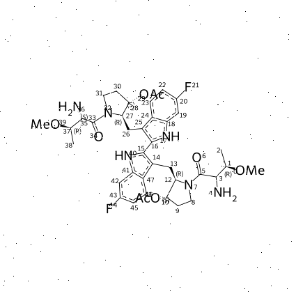 CO[C@H](C)C(N)C(=O)N1CC[C@H](OC(C)=O)[C@H]1Cc1c(-c2[nH]c3cc(F)ccc3c2C[C@@H]2[C@@H](OC(C)=O)CCN2C(=O)[C@@H](N)[C@@H](C)OC)[nH]c2cc(F)ccc12